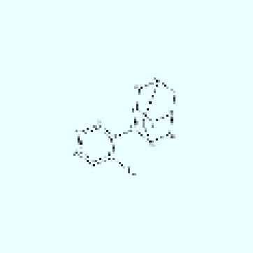 Ic1ccccc1C1C2CC3CC(C2)CC1C3